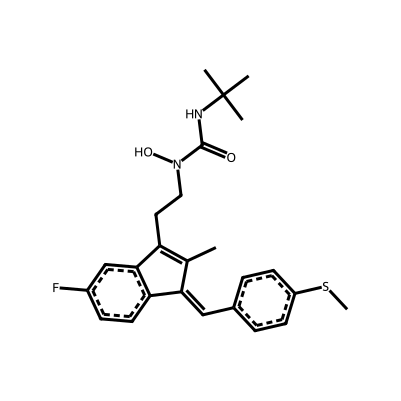 CSc1ccc(C=C2C(C)=C(CCN(O)C(=O)NC(C)(C)C)c3cc(F)ccc32)cc1